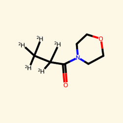 [2H]C([2H])([2H])C([2H])([2H])C(=O)N1CCOCC1